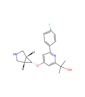 CC(C)(O)c1cc(O[C@@H]2[C@@H]3CNC[C@@H]32)cc(-c2ccc(F)cc2)n1